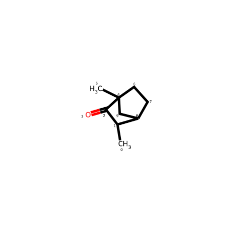 CC1C(=O)C2(C)CCC1C2